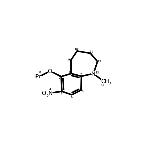 CC(C)Oc1c([N+](=O)[O-])ccc2c1CCCCN2C